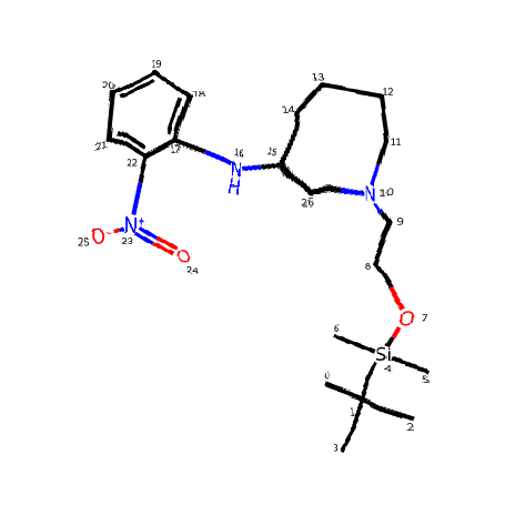 CC(C)(C)[Si](C)(C)OCCN1CCCCC(Nc2ccccc2[N+](=O)[O-])C1